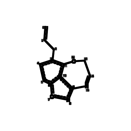 C=CCc1ccc2onc3c2c1OCC=N3